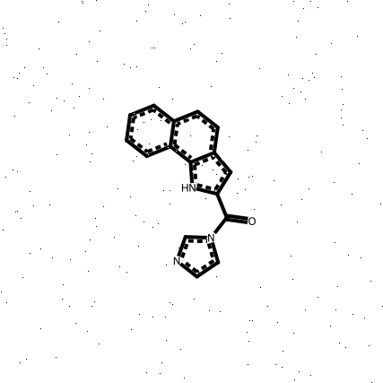 O=C(c1cc2ccc3ccccc3c2[nH]1)n1ccnc1